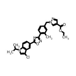 CCOC(=O)c1cnn(Cc2ccc(-c3noc(-c4ccc5c(c4)c(Cl)cn5C(C)C)n3)c(C)c2)c1